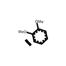 C=C.COc1ccccc1OC